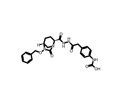 O=C(O)Nc1ccc(CC(=O)NNC(=O)[C@@H]2CC[C@@H]3CN2C(=O)N3OCc2ccccc2)cc1